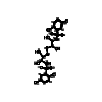 O=S(=O)(NC(O)C(O)SSC(O)C(O)NS(=O)(=O)c1cc(Cl)ccc1Cl)c1cc(Cl)ccc1Cl